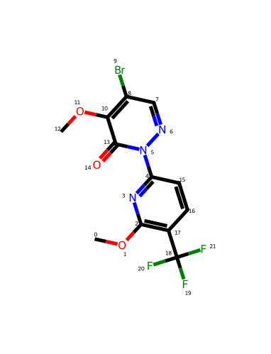 COc1nc(-n2ncc(Br)c(OC)c2=O)ccc1C(F)(F)F